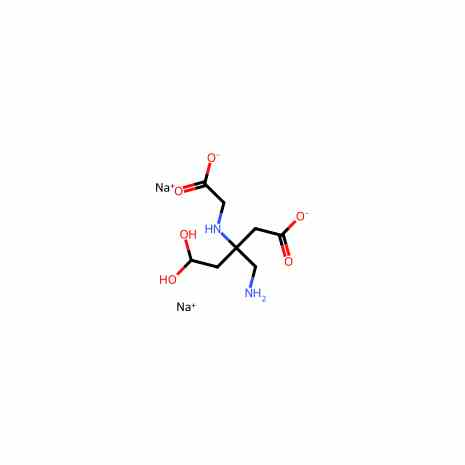 NCC(CC(=O)[O-])(CC(O)O)NCC(=O)[O-].[Na+].[Na+]